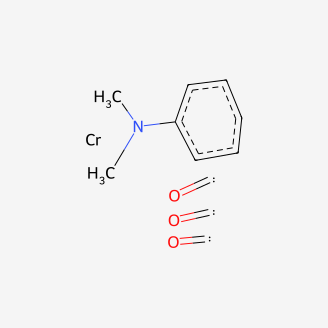 CN(C)c1ccccc1.[C]=O.[C]=O.[C]=O.[Cr]